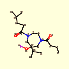 CCCC(=O)N1CCN(C(=O)CCC(C)C)CC(OI)(C(C)C)C1